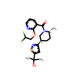 C[C@@H]1CC[C@@H](c2cc(C(C)(C)O)sn2)CN1C(=O)c1cccnc1OCC(F)F